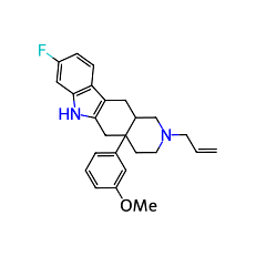 C=CCN1CCC2(c3cccc(OC)c3)Cc3[nH]c4cc(F)ccc4c3CC2C1